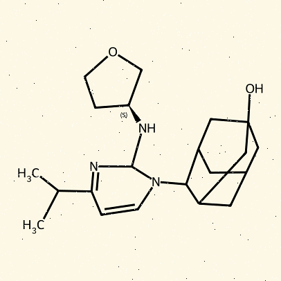 CC(C)C1=NC(N[C@H]2CCOC2)N(C2C3CC4CC2CC(O)(C4)C3)C=C1